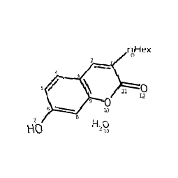 CCCCCCc1cc2ccc(O)cc2oc1=O.O